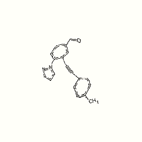 Cc1ccc(C#Cc2cc(C=O)ccc2-n2cccn2)cc1